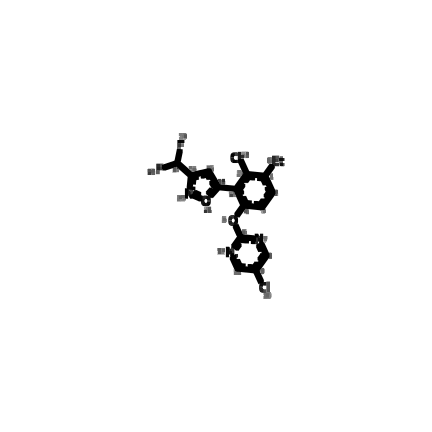 CCc1ccc(Oc2ncc(Cl)cn2)c(-c2cc(C(F)F)no2)c1Cl